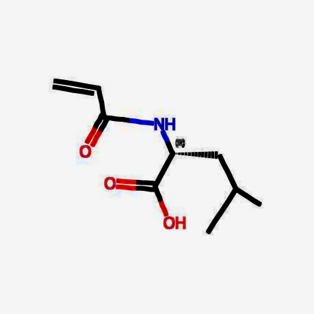 C=CC(=O)N[C@H](CC(C)C)C(=O)O